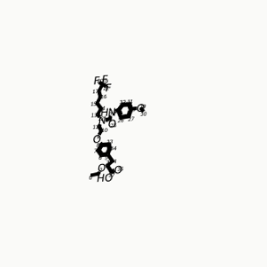 CCOC(Cc1ccc(OCCN(CCCCCC(F)(F)F)C(=O)Nc2ccc(OC)cc2)cc1)C(=O)O